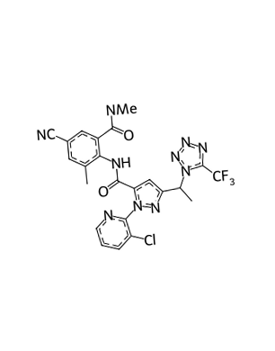 CNC(=O)c1cc(C#N)cc(C)c1NC(=O)c1cc(C(C)n2nnnc2C(F)(F)F)nn1-c1ncccc1Cl